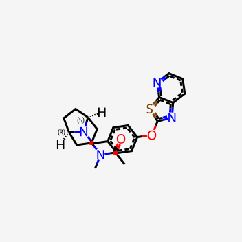 CC(=O)N(C)C1C[C@H]2CC[C@@H](C1)N2Cc1ccc(Oc2nc3cccnc3s2)cc1